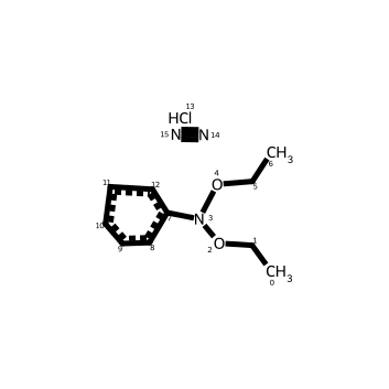 CCON(OCC)c1ccccc1.Cl.N#N